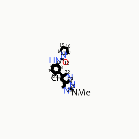 CNc1ncc2cc(-c3cc(NC(=O)N4CCCC4)ccc3C)cnc2n1